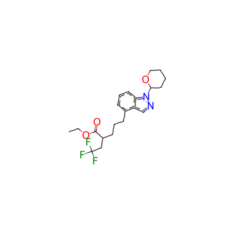 CCOC(=O)C(CCCc1cccc2c1cnn2C1CCCCO1)CC(F)(F)F